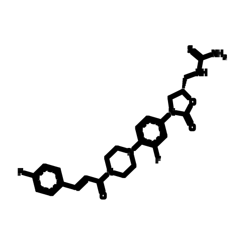 NC(=S)NC[C@H]1CN(c2ccc(N3CCN(C(=O)C=Cc4ccc(F)cc4)CC3)c(F)c2)C(=O)O1